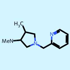 CNC1CN(Cc2ccccn2)CC1C